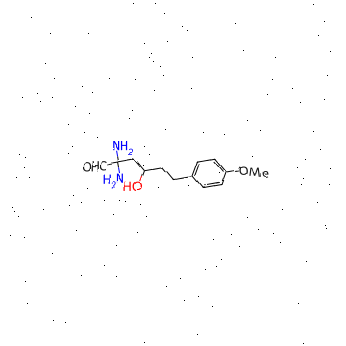 COc1ccc(CCC(O)CC(N)(N)C=O)cc1